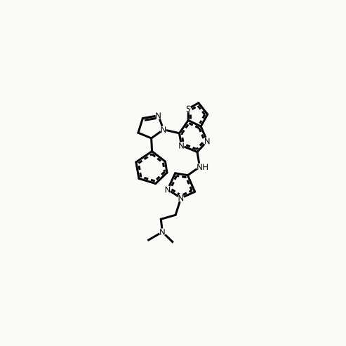 CN(C)CCn1cc(Nc2nc(N3N=CCC3c3ccccc3)c3sccc3n2)cn1